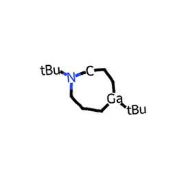 CC(C)(C)N1CC[CH2][Ga]([C](C)(C)C)[CH2]CC1